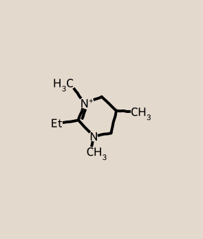 CCC1=[N+](C)CC(C)CN1C